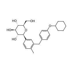 Cc1ccc([C@@H]2O[C@H](CO)[C@@H](O)[C@H](O)[C@H]2O)cc1Cc1ccc(OC2CCCCC2)cc1